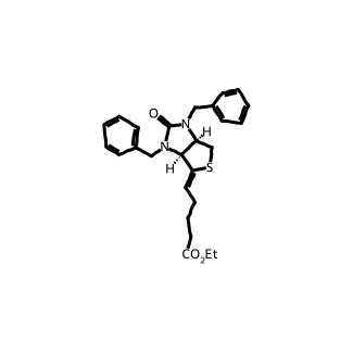 CCOC(=O)CCC/C=C1\SC[C@H]2[C@@H]1N(Cc1ccccc1)C(=O)N2Cc1ccccc1